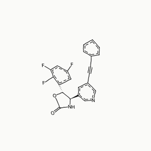 O=C1N[C@H](c2cncc(C#Cc3ccccc3)c2)[C@@H](c2cc(F)cc(F)c2F)O1